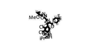 COC1(c2nnc(-c3nc(C(=O)N4CCC(F)(F)CC4)c(-c4ccc(S(=O)(=O)NC(C)C)c(Cl)c4Cl)s3)o2)CC1